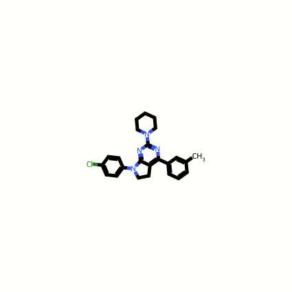 Cc1cccc(-c2nc(N3CCCCC3)nc3c2CCN3c2ccc(Cl)cc2)c1